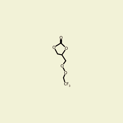 O=C1OCC(COOCC(F)(F)F)O1